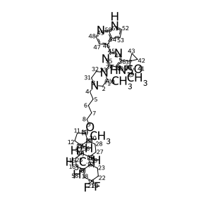 C[C@@H]1CN(CCCCCO[C@H]2CC[C@H]3[C@@H]4CC[C@H]5CC(F)(F)CC[C@]5(C)[C@H]4CC[C@]23C)CCN1c1cc(C2([S@](C)(=N)=O)CC2)nc(-c2ccnc3[nH]ccc23)n1